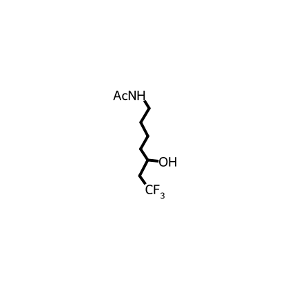 CC(=O)NCCCCC(O)CC(F)(F)F